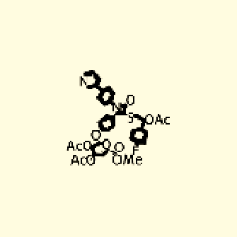 COC(=O)[C@@H]1[C][C@H](OC(C)=O)[C@@H](OC(C)=O)[C@H](Oc2ccc([C@@H]3[C@@H](SC[C@H](OC(C)=O)c4ccc(F)cc4)C(=O)N3c3ccc(-c4cccnc4)cc3)cc2)O1